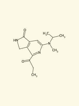 CCC(=O)c1nc(N(C)C(C)C)cc2c1CNC2=O